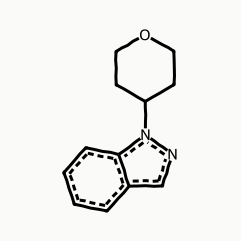 c1ccc2c(c1)cnn2C1CCOCC1